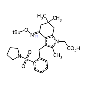 Cc1c(Cc2ccccc2S(=O)(=O)N2CCCC2)c2c(n1CC(=O)O)CC(C)(C)C/C2=N\OC(C)(C)C